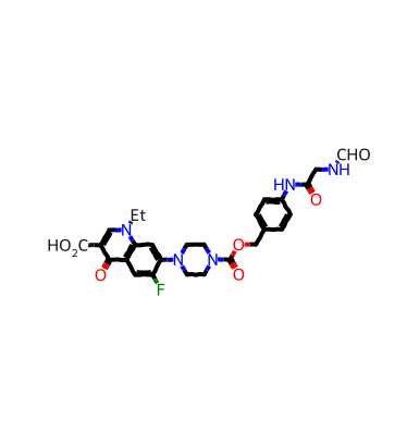 CCn1cc(C(=O)O)c(=O)c2cc(F)c(N3CCN(C(=O)OCc4ccc(NC(=O)CNC=O)cc4)CC3)cc21